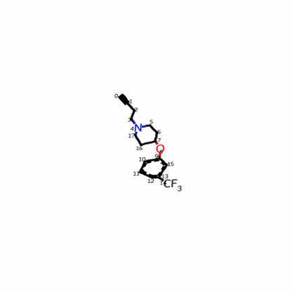 C#CCCN1CCC(Oc2cccc(C(F)(F)F)c2)CC1